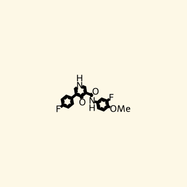 COc1ccc(NC(=O)c2c[nH]cc(-c3ccc(F)cc3)c2=O)cc1F